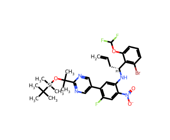 C=CC[C@@H](Nc1cc(-c2cnc(C(C)(C)O[Si](C)(C)C(C)(C)C)nc2)c(F)cc1[N+](=O)[O-])c1c(Br)cccc1OC(F)F